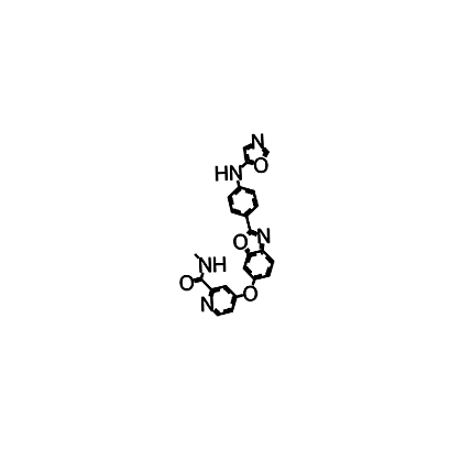 CNC(=O)c1cc(Oc2ccc3nc(-c4ccc(Nc5cnco5)cc4)oc3c2)ccn1